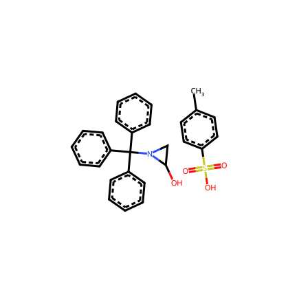 Cc1ccc(S(=O)(=O)O)cc1.OC1CN1C(c1ccccc1)(c1ccccc1)c1ccccc1